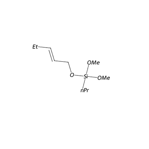 CCC=CCO[Si](CCC)(OC)OC